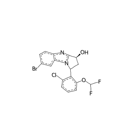 O[C@H]1CC(c2c(Cl)cccc2OC(F)F)n2c1nc1ccc(Br)cc12